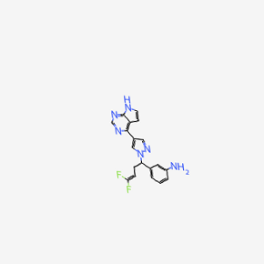 Nc1cccc(C(CC=C(F)F)n2cc(-c3ncnc4[nH]ccc34)cn2)c1